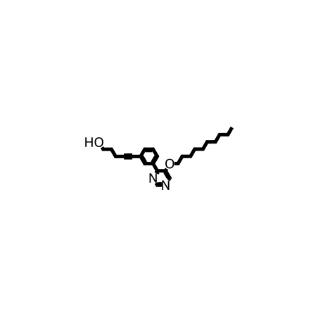 CCCCCCCCCCOc1cncnc1-c1cccc(C#CCCCO)c1